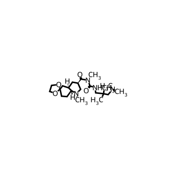 CN(C)CC(C)(C)CNC(=O)N(C)C(=O)[C@@H]1C[C@@H]2CC3(CC[C@H]2N(C)C1)OCCO3